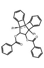 CC(C)C12c3ccccc3[C@@]13c1ccccc1[C@@]3(C(C)C)C(OC(=O)c1ccccc1)C2OC(=O)c1ccccc1